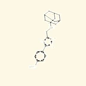 COc1ccc(-c2nc(CNC34CC5CC(CC(C5)C3)C4)no2)cc1